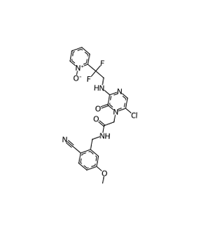 COc1ccc(C#N)c(CNC(=O)Cn2c(Cl)cnc(NCC(F)(F)c3cccc[n+]3[O-])c2=O)c1